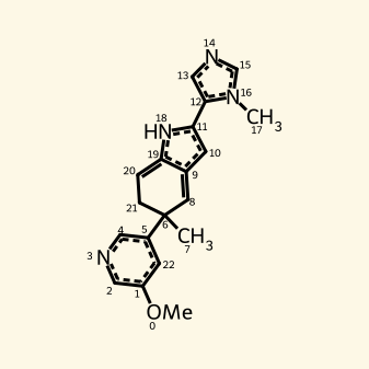 COc1cncc(C2(C)C=c3cc(-c4cncn4C)[nH]c3=CC2)c1